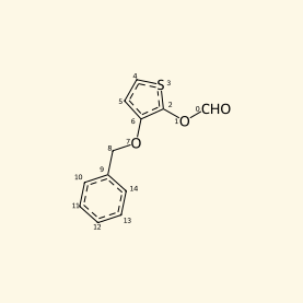 O=COc1sccc1OCc1ccccc1